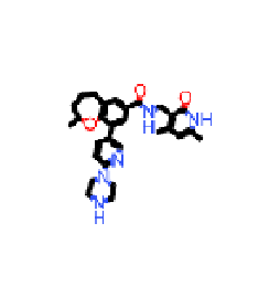 Cc1cc(C)c(CNC(=O)c2cc3c(c(-c4ccc(N5CCNCC5)nc4)c2)OC(C)CCC3)c(=O)[nH]1